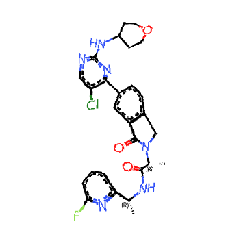 C[C@H](C(=O)N[C@H](C)c1cccc(F)n1)N1Cc2ccc(-c3nc(NC4CCOCC4)ncc3Cl)cc2C1=O